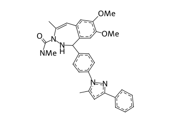 CNC(=O)N1NC(c2ccc(-n3nc(-c4ccccc4)cc3C)cc2)c2cc(OC)c(OC)cc2C=C1C